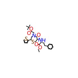 CCOC(=O)[C@H](CCc1ccccc1)N[C@H]1CSC(c2cccs2)CN(CC(=O)OC(C)(C)C)C1=O